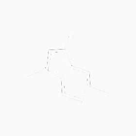 Cc1ccc2c(c1)c(Cl)cn2C